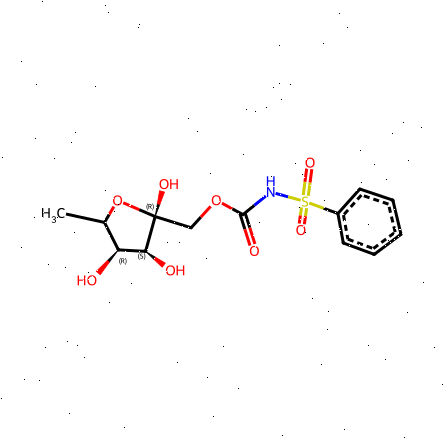 CC1O[C@](O)(COC(=O)NS(=O)(=O)c2ccccc2)[C@@H](O)[C@H]1O